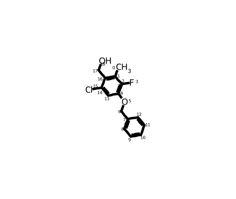 Cc1c(F)c(OCc2ccccc2)cc(Cl)c1CO